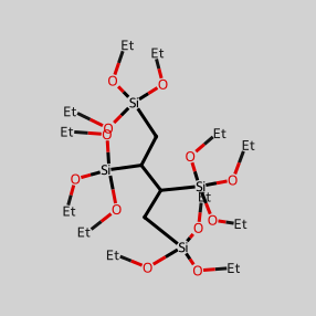 CCO[Si](CC(C(C[Si](OCC)(OCC)OCC)[Si](OCC)(OCC)OCC)[Si](OCC)(OCC)OCC)(OCC)OCC